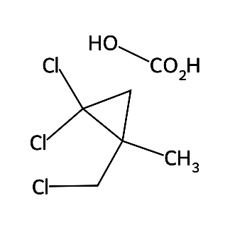 CC1(CCl)CC1(Cl)Cl.O=C(O)O